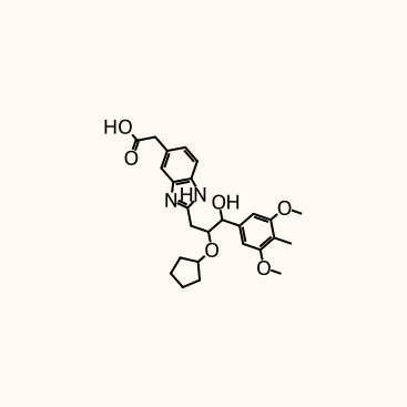 COc1cc(C(O)C(Cc2nc3cc(CC(=O)O)ccc3[nH]2)OC2CCCC2)cc(OC)c1C